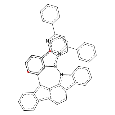 c1ccc(-c2cc(-c3ccccc3)nc(-c3cccc(-n4c5ccccc5c5ccc6c7ccccc7n(-n7c8ccccc8c8ccccc87)c6c54)c3)n2)cc1